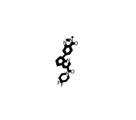 Cn1cnc2cc(-c3cccc4cc(C(=O)N5CCC(F)(F)CC5)cnc34)ccc2c1=O